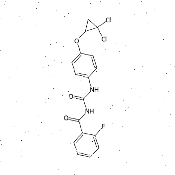 O=C(NC(=O)c1ccccc1F)Nc1ccc(OC2CC2(Cl)Cl)cc1